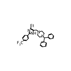 CCc1nc(-c2ccc(C(F)(F)F)cc2)[nH]c1CN1CCN(C(c2ccccc2)c2ccccc2)CC1